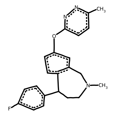 Cc1ccc(Oc2ccc3c(c2)CN(C)CCC3c2ccc(F)cc2)nn1